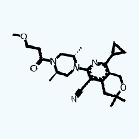 COCCC(=O)N1C[C@H](C)N(c2nc(C3CC3)c3c(c2C#N)CC(C)(C)OC3)C[C@H]1C